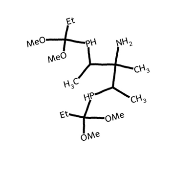 CCC(OC)(OC)PC(C)C(C)(N)C(C)PC(CC)(OC)OC